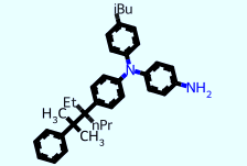 CCCC(CC)(c1ccc(N(c2ccc(N)cc2)c2ccc(C(C)CC)cc2)cc1)C(C)(C)c1ccccc1